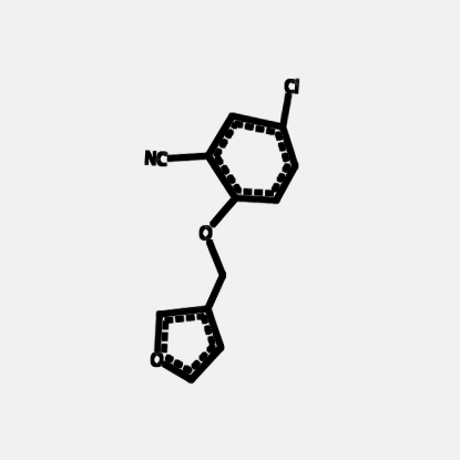 N#Cc1cc(Cl)ccc1OCc1ccoc1